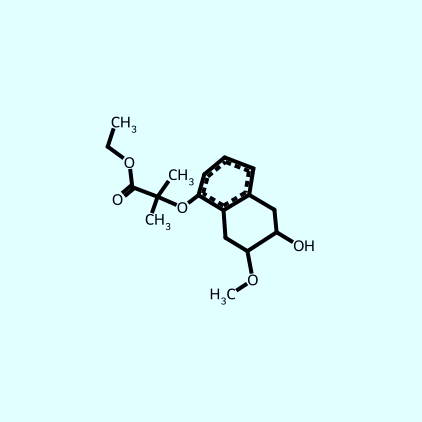 CCOC(=O)C(C)(C)Oc1cccc2c1CC(OC)C(O)C2